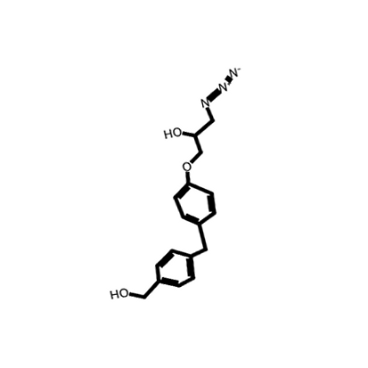 [N-]=[N+]=NCC(O)COc1ccc(Cc2ccc(CO)cc2)cc1